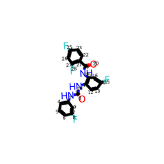 O=C(Nc1cccc(F)c1)Nc1ccc(F)cc1NC(=O)c1ccc(F)cc1F